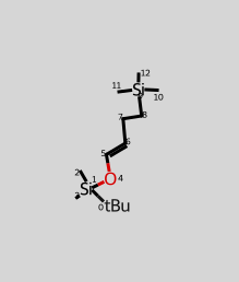 CC(C)(C)[Si](C)(C)O/C=C/CC[Si](C)(C)C